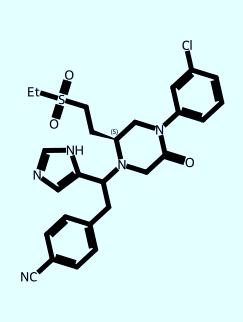 CCS(=O)(=O)CC[C@H]1CN(c2cccc(Cl)c2)C(=O)CN1C(Cc1ccc(C#N)cc1)c1cnc[nH]1